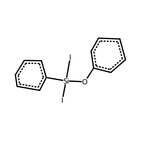 I[Si](I)(Oc1ccccc1)c1ccccc1